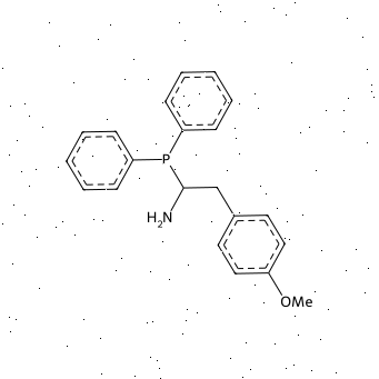 COc1ccc(CC(N)P(c2ccccc2)c2ccccc2)cc1